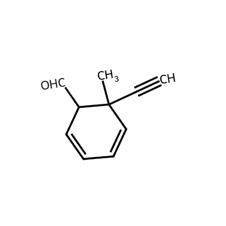 C#CC1(C)C=CC=CC1C=O